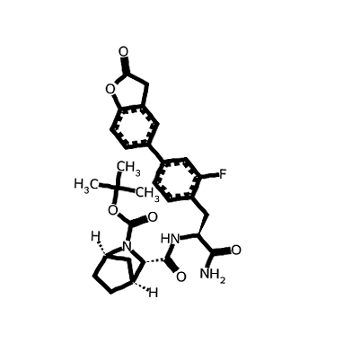 CC(C)(C)OC(=O)N1[C@@H]2CC[C@@H](C2)[C@H]1C(=O)N[C@@H](Cc1ccc(-c2ccc3c(c2)CC(=O)O3)cc1F)C(N)=O